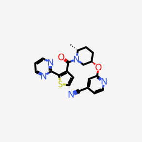 C[C@@H]1CC[C@@H](Oc2cc(C#N)ccn2)CN1C(=O)c1ccsc1-c1ncccn1